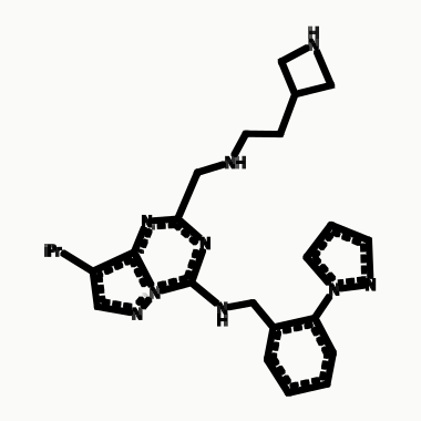 CC(C)c1cnn2c(NCc3ccccc3-n3cccn3)nc(CNCCC3CNC3)nc12